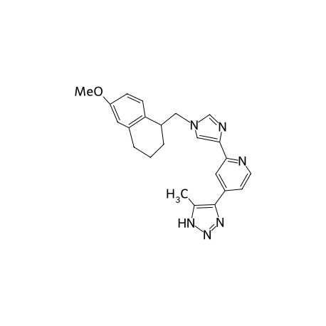 COc1ccc2c(c1)CCCC2Cn1cnc(-c2cc(-c3nn[nH]c3C)ccn2)c1